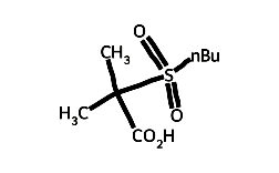 CCCCS(=O)(=O)C(C)(C)C(=O)O